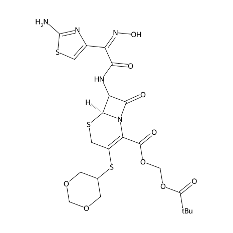 CC(C)(C)C(=O)OCOC(=O)C1=C(SC2COCOC2)CS[C@H]2C(NC(=O)/C(=N\O)c3csc(N)n3)C(=O)N12